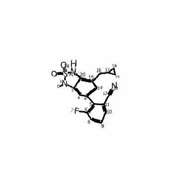 CN1c2cc(-c3c(F)cccc3C#N)cc(CC3CC3)c2NS1(=O)=O